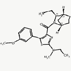 CCN(C)c1nc(C(=O)N2[C@H]3CC[C@H](C3)[C@@H]2CN)c(-c2cccc(OC)c2)s1